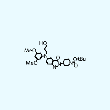 COc1cc(OC)cc(N(CCCO)c2ccc3ncn(C4CCN(C(=O)OC(C)(C)C)CC4)c(=O)c3c2)c1